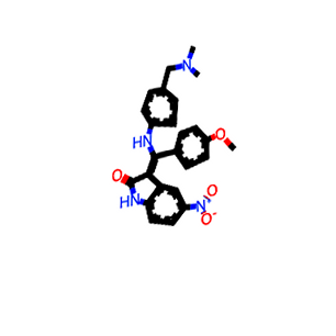 COc1ccc(/C(Nc2ccc(CN(C)C)cc2)=C2/C(=O)Nc3ccc([N+](=O)[O-])cc32)cc1